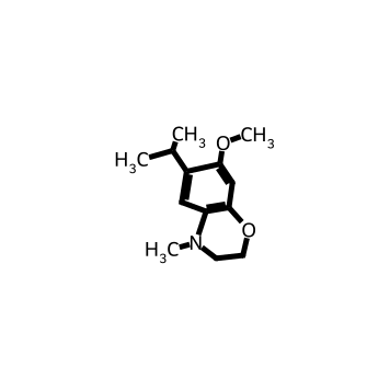 COc1cc2c(cc1C(C)C)N(C)CCO2